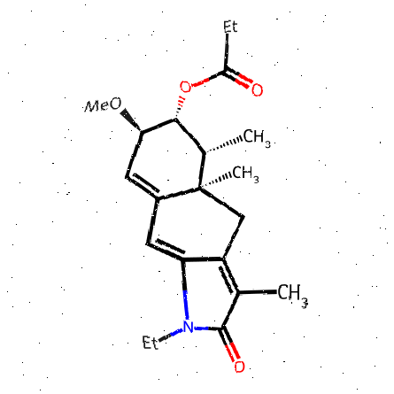 CCC(=O)O[C@H]1[C@H](OC)C=C2C=C3C(=C(C)C(=O)N3CC)C[C@]2(C)[C@H]1C